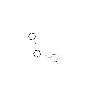 CC(CC(=O)O)C[C@H](CN)NCc1cccc(OCc2ccccc2)c1